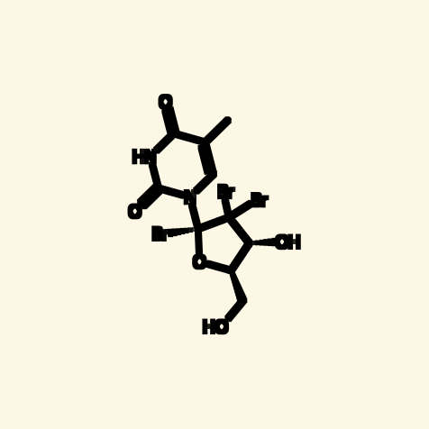 Cc1cn([C@]2(Br)O[C@H](CO)[C@@H](O)C2(Br)Br)c(=O)[nH]c1=O